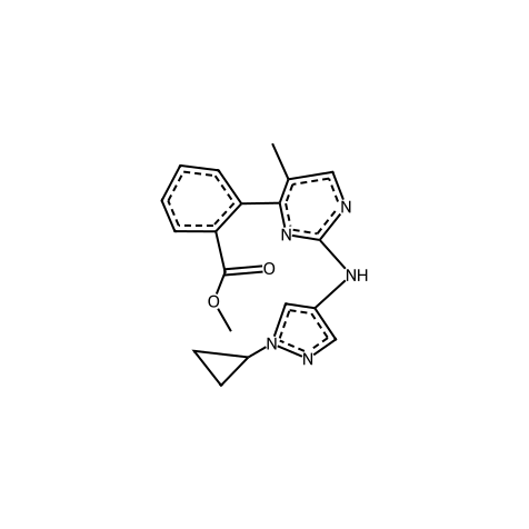 COC(=O)c1ccccc1-c1nc(Nc2cnn(C3CC3)c2)ncc1C